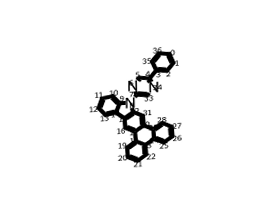 c1ccc(-c2cnc(-n3c4ccccc4c4cc5c6ccccc6c6ccccc6c5cc43)cn2)cc1